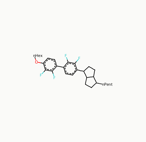 CCCCCCOc1ccc(-c2ccc(C3CCC4C(CCCCC)CCC34)c(F)c2F)c(F)c1F